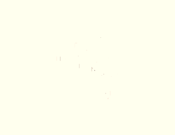 CC(F)(F)c1ccccc1NC(=O)CCl